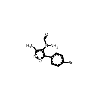 Cc1noc(-c2ccc(Br)cc2)c1N(N)C=O